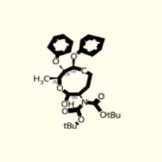 C[C@@H]1OC(O)[C@@H](N(C(=O)OC(C)(C)C)C(=O)OC(C)(C)C)CCC[C@H](Oc2ccccc2)[C@H]1Oc1ccccc1